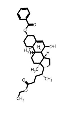 CCOC(=O)CC[C@@H](C)[C@H]1CC[C@H]2[C@@H]3[C@H](O)C=C4C[C@H](OC(=O)c5ccccc5)CC[C@]4(C)[C@H]3CC[C@]12C